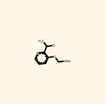 COCOc1cccnc1C(C)Cl